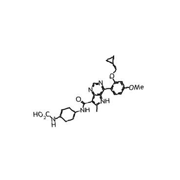 COc1ccc(-c2ncnc3c(C(=O)NC4CCC(NC(=O)O)CC4)c(C)[nH]c23)c(OCC2CC2)c1